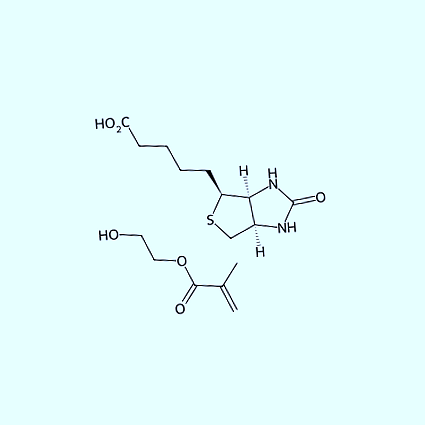 C=C(C)C(=O)OCCO.O=C(O)CCCC[C@@H]1SC[C@@H]2NC(=O)N[C@@H]21